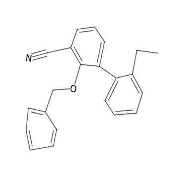 CCc1ccccc1-c1cccc(C#N)c1OCc1ccccc1